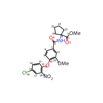 COC(=O)C1(NC(=O)c2ccc(Oc3ccc(Cl)cc3[N+](=O)[O-])c(OC)c2)CCCC1